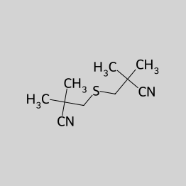 CC(C)(C#N)CSCC(C)(C)C#N